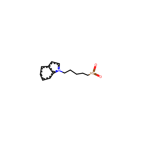 O=[SH](=O)CCCCCn1ccc2ccccc21